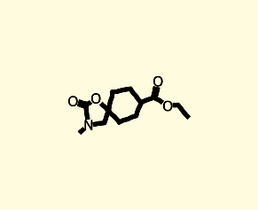 CCOC(=O)C1CCC2(CC1)CN(C)C(=O)O2